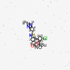 Cc1cc2nc(-c3ccc4c(c3)nc(C(C)C)n4C)sc2c(-c2ccc(Cl)cc2)c1[C@H](OC(C)(C)C)C(=O)N=O